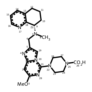 COc1cc2nc(CN(C)[C@H]3CCCc4cccnc43)cn2c(N2CCN(C(=O)O)CC2)n1